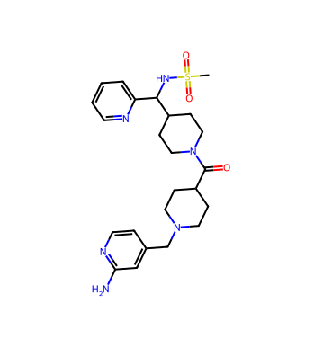 CS(=O)(=O)NC(c1ccccn1)C1CCN(C(=O)C2CCN(Cc3ccnc(N)c3)CC2)CC1